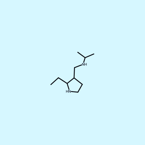 CCC1NCCC1CNC(C)C